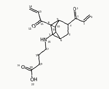 C=CC(=O)C1CC2CCC1C(C(=O)C=C)C2NCCCC(=O)O